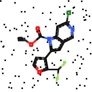 CC(C)(C)OC(=O)n1c(-c2ccoc2C(F)F)cc2cnc(Cl)cc21